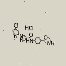 Cl.O=C(Nc1ccc(C2CNCCO2)cc1)c1cnn(-c2cc(Cl)ccn2)c1